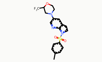 Cc1ccc(S(=O)(=O)n2ccc3cc(N4CCOC(C(F)(F)F)C4)cnc32)cc1